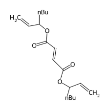 C=CC(CCCC)OC(=O)/C=C/C(=O)OC(C=C)CCCC